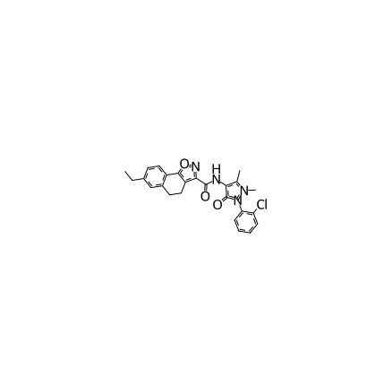 CCc1ccc2c(c1)CCc1c(C(=O)Nc3c(C)n(C)n(-c4ccccc4Cl)c3=O)noc1-2